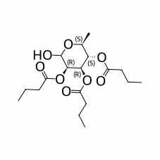 CCCC(=O)O[C@@H]1[C@@H](OC(=O)CCC)[C@@H](OC(=O)CCC)C(O)O[C@H]1C